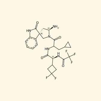 N[C@@H]1C[C@@]2(CN1C(=O)C(CC1CC1)NC(=O)[C@@H](NC(=O)C(F)(F)F)C1CC(F)(F)C1)C(=O)Nc1ccccc12